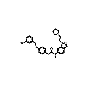 N#Cc1cccc(COc2ccc(CC(=O)Nc3ccc4cnn(CCN5CCCC5)c4c3)cc2)c1